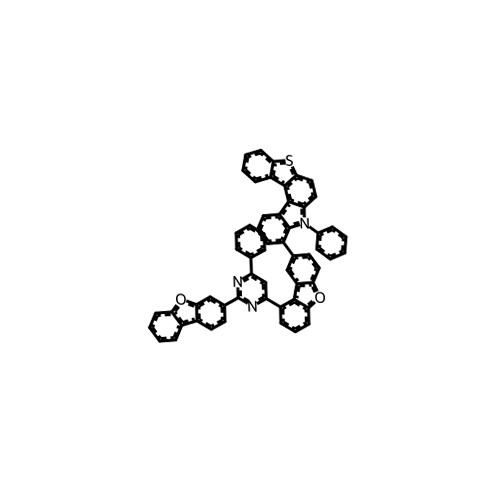 c1ccc(-c2cc(-c3cccc4oc5ccc(-c6cccc7c8c9c(ccc8n(-c8ccccc8)c67)sc6ccccc69)cc5c34)nc(-c3ccc4c(c3)oc3ccccc34)n2)cc1